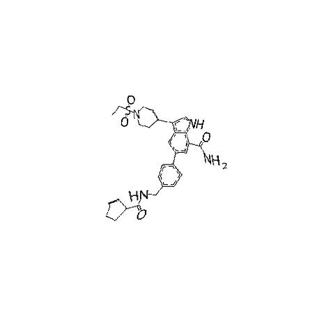 CCS(=O)(=O)N1CCC(c2c[nH]c3c(C(N)=O)cc(-c4ccc(CNC(=O)C5CCCC5)cc4)cc23)CC1